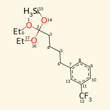 CCOC(CCCCc1cccc(C(F)(F)F)c1)(O[SiH3])OCC